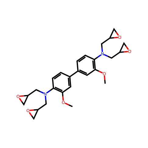 COc1cc(-c2ccc(N(CC3CO3)CC3CO3)c(OC)c2)ccc1N(CC1CO1)CC1CO1